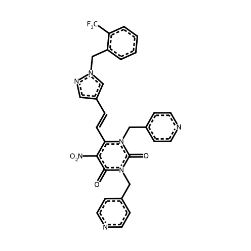 O=c1c([N+](=O)[O-])c(C=Cc2cnn(Cc3ccccc3C(F)(F)F)c2)n(Cc2ccncc2)c(=O)n1Cc1ccncc1